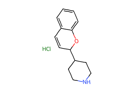 C1=CC(C2CCNCC2)Oc2ccccc21.Cl